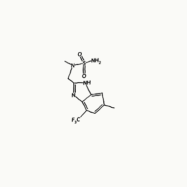 Cc1cc(C(F)(F)F)c2nc(CN(C)S(N)(=O)=O)[nH]c2c1